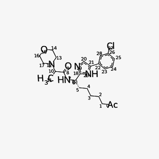 CC(=O)CCCCC[C@H](NC(=O)C(C)N1CCOCC1)c1ncc(-c2cccc(Cl)c2)[nH]1